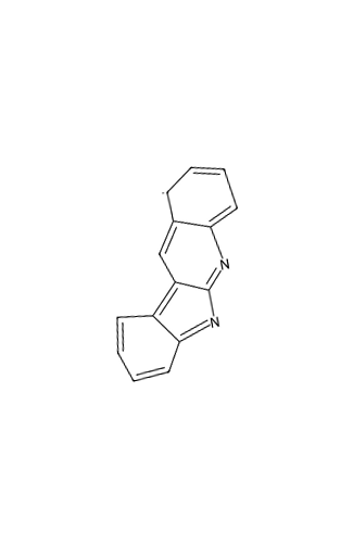 [CH]1C=CC=c2nc3c(cc21)=c1ccccc1=N3